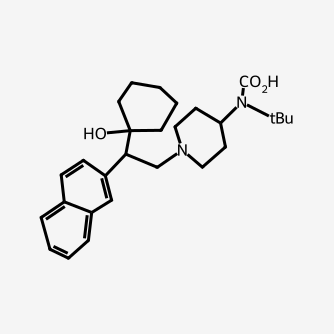 CC(C)(C)N(C(=O)O)C1CCN(CC(c2ccc3ccccc3c2)C2(O)CCCCC2)CC1